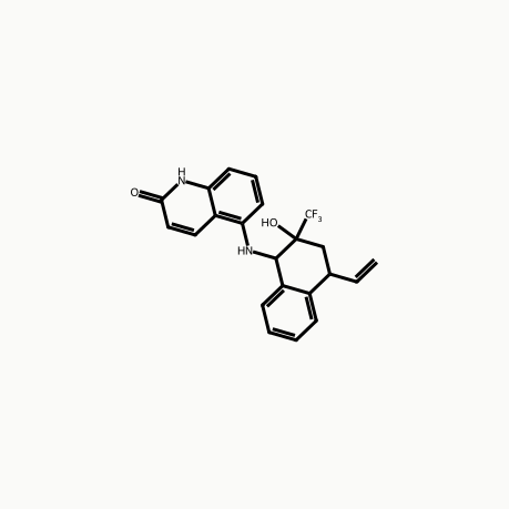 C=CC1CC(O)(C(F)(F)F)C(Nc2cccc3[nH]c(=O)ccc23)c2ccccc21